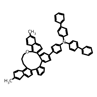 Cc1ccc2c3c(ccc2c1)-c1ccccc1-c1ccc(-c2ccc(N(c4ccc(-c5ccccc5)cc4)c4ccc(-c5ccccc5)cc4)cc2)cc1-c1ccc2cc(C)ccc2c1OCCC3